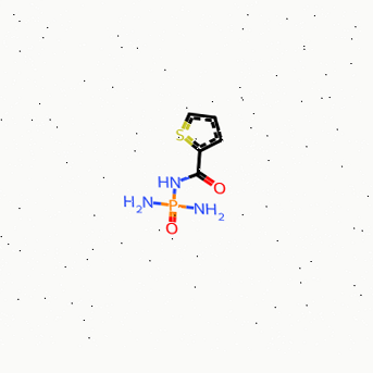 NP(N)(=O)NC(=O)c1cccs1